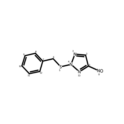 O=Nc1cnn(SCc2ccccc2)n1